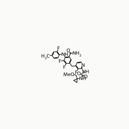 COCC1(NS(=O)(=O)Nc2nccc(Cc3cc(C(N)=O)c(Nc4ccc(C)cc4F)c(F)c3F)c2F)CC1